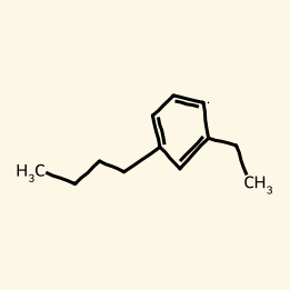 CCCCc1cc[c]c(CC)c1